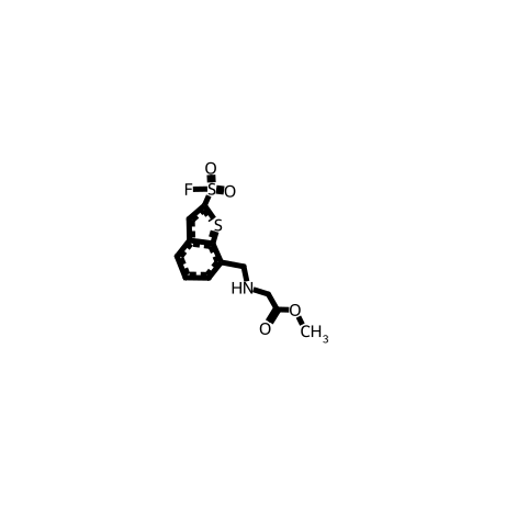 COC(=O)CNCc1cccc2cc(S(=O)(=O)F)sc12